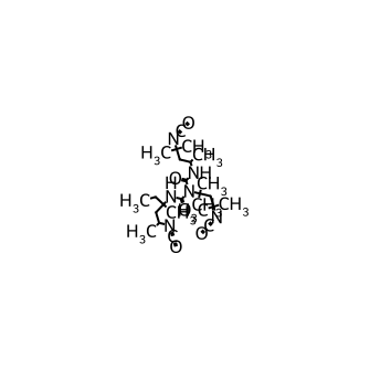 CCC(C)(CC(C)N=C=O)NC(=O)N(C(=O)NC(C)CC(C)(C)N=C=O)C(C)(C)CC(C)(C)N=C=O